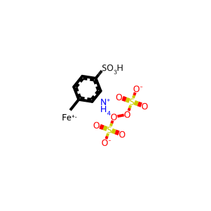 Cc1ccc(S(=O)(=O)O)cc1.O=S(=O)([O-])OOS(=O)(=O)[O-].[Fe+].[NH4+]